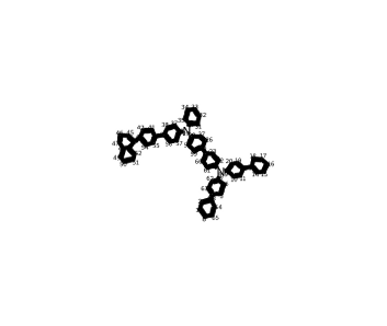 c1ccc(-c2ccc(N(c3ccc(-c4ccccc4)cc3)c3ccc(-c4ccc(N(c5ccccc5)c5ccc(-c6ccc(-c7cccc8ccccc78)cc6)cc5)cc4)cc3)cc2)cc1